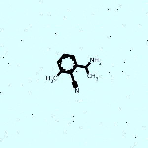 Cc1cccc(C(C)N)c1C#N